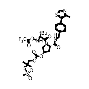 Cc1ncsc1-c1ccc(CNC(=O)[C@@H]2C[C@@H](OC(=O)OCC(C)(C)SS(C)(=O)=O)CN2C(=O)[C@@H](NOC(=O)C(F)(F)F)C(C)(C)C)cc1